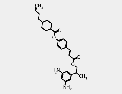 C=CCCC1CCC(C(=O)Oc2ccc(/C=C/C(=O)OCC(C)c3cc(N)cc(N)c3)cc2)CC1